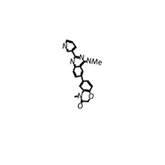 CNc1nc(-c2cccnc2)nc2ccc(-c3ccc4c(c3)N(C)C(=O)CO4)cc12